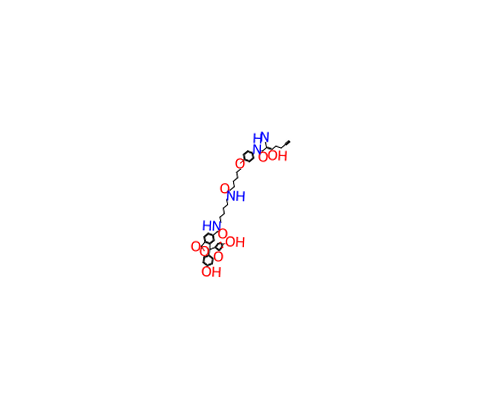 C#CCC/C(O)=C(\C#N)C(=O)Nc1ccc(OCCCCCC(=O)NCCCCCCNC(=O)c2ccc3c(c2)C2(OC3=O)c3ccc(O)cc3Oc3cc(O)ccc32)cc1